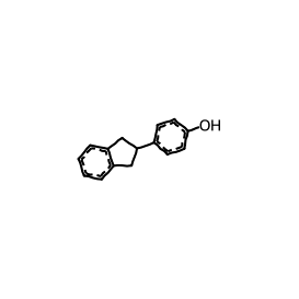 Oc1ccc(C2Cc3ccccc3C2)cc1